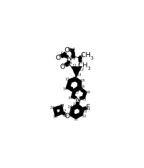 CC(C)[C@H]1COC(=O)N1C(=O)[C@@H]1C[C@H]1c1ccc2c(c1)CCN(c1cc(OC3CCC3)ccc1F)C2